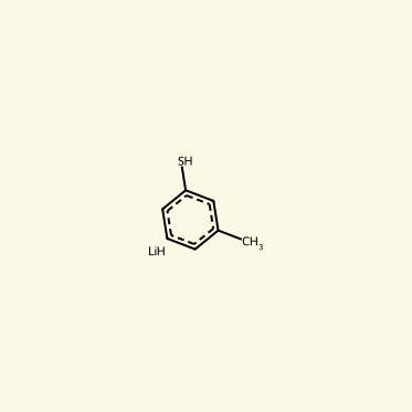 Cc1cccc(S)c1.[LiH]